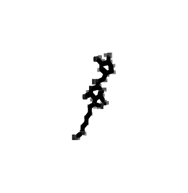 CCOCCCCCN1N=NC2=NC(NCc3ccc(Cl)c(Cl)c3)=NC(=O)C21